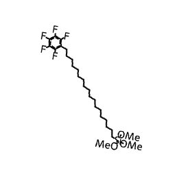 CO[Si](CCCCCCCCCCCCCCCCCCc1c(F)c(F)c(F)c(F)c1F)(OC)OC